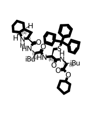 CC[C@H](C)[C@H](NC(=O)[C@@H]1C[C@@H]2CCCC[C@@H]2N1)C(=O)N[C@@H](CSC(c1ccccc1)(c1ccccc1)c1ccccc1)C(=O)N[C@H](C(=O)OC1CCCCC1)[C@@H](C)CC